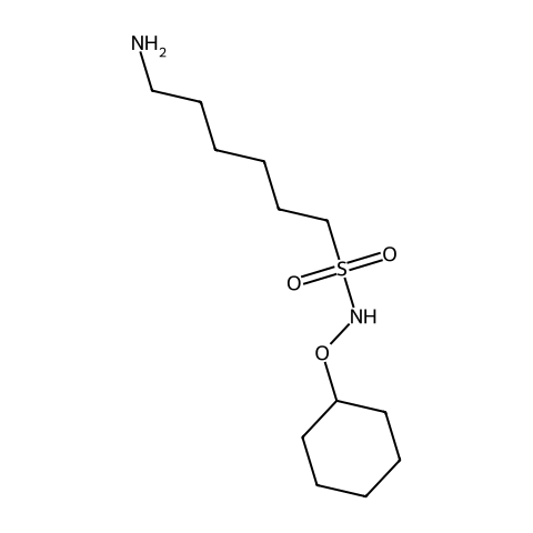 NCCCCCCS(=O)(=O)NOC1CCCCC1